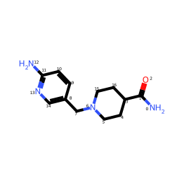 NC(=O)C1CCN(Cc2ccc(N)nc2)CC1